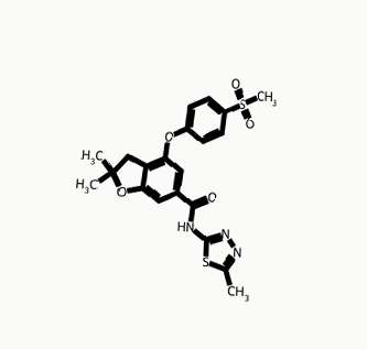 Cc1nnc(NC(=O)c2cc(Oc3ccc(S(C)(=O)=O)cc3)c3c(c2)OC(C)(C)C3)s1